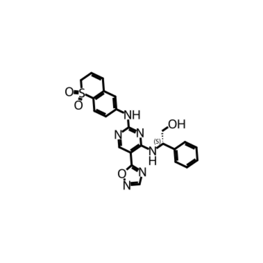 O=S1(=O)CC=Cc2cc(Nc3ncc(-c4ncno4)c(N[C@H](CO)c4ccccc4)n3)ccc21